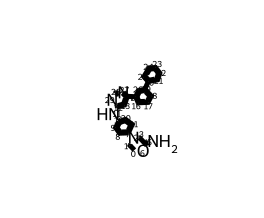 CCN(CC(N)=O)c1ccc(Nc2cc(-c3cccc(-c4ccccc4)c3)ncn2)cc1